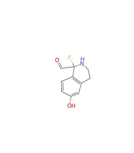 O=CC1(F)NCCc2cc(O)ccc21